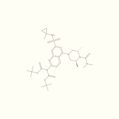 C[C@H]1CN(c2cc(S(=O)(=O)NC3(C)CC3)cc3nc(N(C(=O)OC(C)(C)C)C(=O)OC(C)(C)C)ccc23)C[C@H](C)N1C(=O)N(C)C